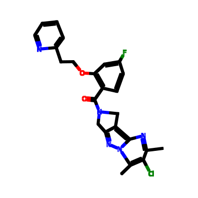 Cc1nc2c3c(nn2c(C)c1Cl)CN(C(=O)c1ccc(F)cc1OCCc1ccccn1)C3